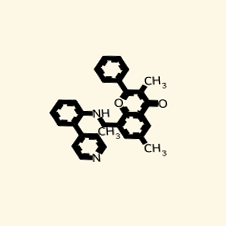 Cc1cc([C@@H](C)Nc2ccccc2-c2ccncc2)c2oc(-c3ccccc3)c(C)c(=O)c2c1